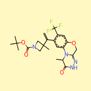 C=C(c1cc2c(cc1C(F)(F)F)OCC1=NNC(=O)C(C)N12)C1(C)CN(C(=O)OC(C)(C)C)C1